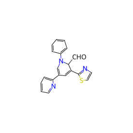 O=CC1C(c2nccs2)=CC(c2ccccn2)=CN1c1ccccc1